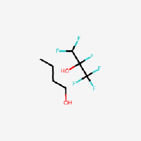 CCCCO.OC(F)(C(F)F)C(F)(F)F